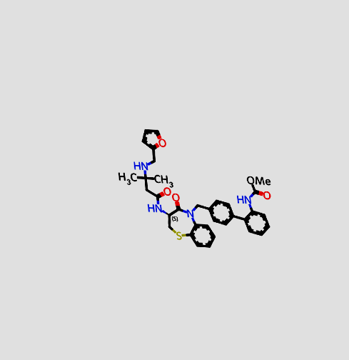 COC(=O)Nc1ccccc1-c1ccc(CN2C(=O)[C@H](NC(=O)CC(C)(C)NCc3ccco3)CSc3ccccc32)cc1